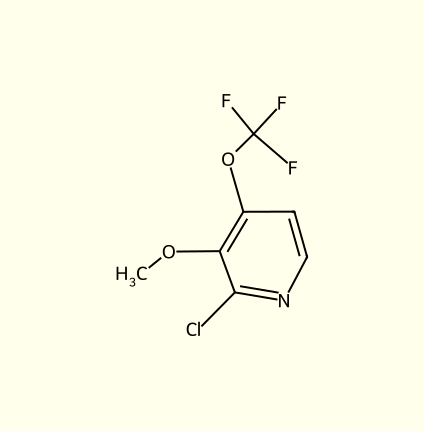 COc1c(OC(F)(F)F)ccnc1Cl